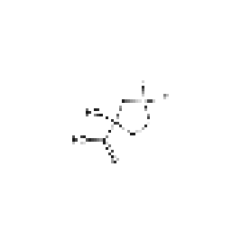 O=C(O)C1(O)CCC(F)(F)C1